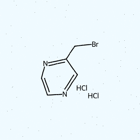 BrCc1cnccn1.Cl.Cl